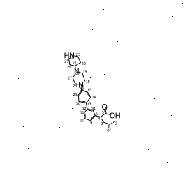 CC(C)CC(C(=O)O)c1cccc(-c2ccc(N3CCN(C4CCNCC4)CC3)cc2)c1